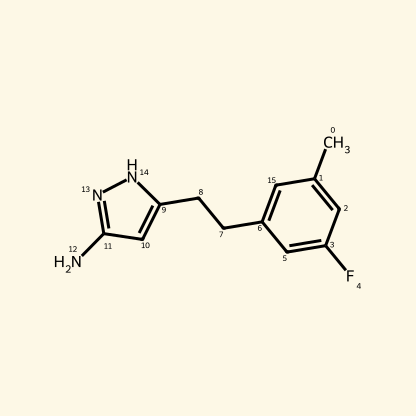 Cc1cc(F)cc(CCc2cc(N)n[nH]2)c1